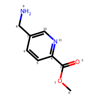 COC(=O)c1ccc(CN)cn1